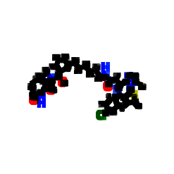 Cc1sc2c(c1C)C(c1ccc(Cl)cc1)=N[C@@H](CC(=O)NCCCCCCc1cccc(C(=O)N3CCC4(CCCC(=O)NC4=O)C3)c1)c1nnc(C)n1-2